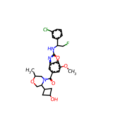 COc1cc(C(=O)N2CC(C)OCC2C2CC(O)C2)cc2nc(NC(CF)c3cccc(Cl)c3)oc12